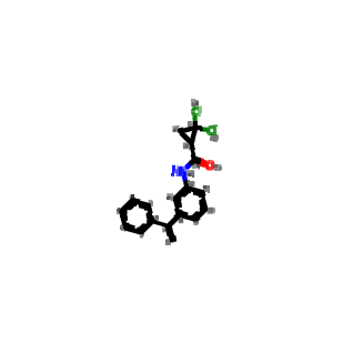 C=C(c1ccccc1)c1cccc(NC(=O)C2CC2(Cl)Cl)c1